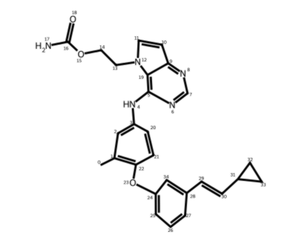 Cc1cc(Nc2ncnc3ccn(CCOC(N)=O)c23)ccc1Oc1cccc(/C=C/C2CC2)c1